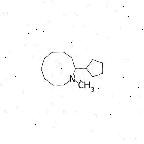 CN1CCCCCCCCC1C1CCCC1